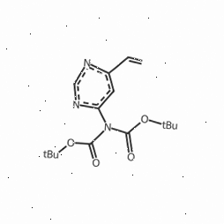 C=Cc1cc(N(C(=O)OC(C)(C)C)C(=O)OC(C)(C)C)ncn1